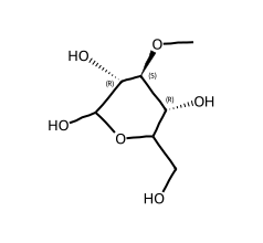 CO[C@H]1[C@H](O)C(CO)OC(O)[C@@H]1O